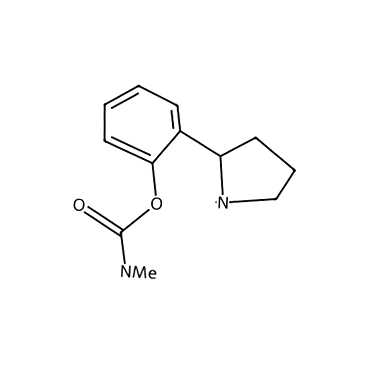 CNC(=O)Oc1ccccc1C1CCC[N]1